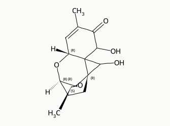 CC1=C[C@H]2O[C@@H]3CC[C@@]4(C(O)C24C(O)C1=O)[C@@]31O[C@@H]1C